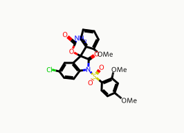 COc1ccc(S(=O)(=O)N2C(=O)C(OC(N)=O)(c3ccccc3OC)c3cc(Cl)ccc32)c(OC)c1